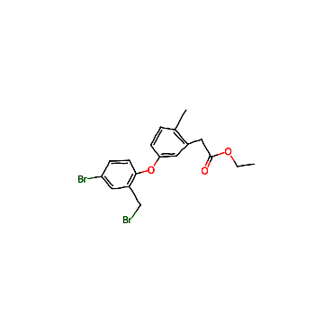 CCOC(=O)Cc1cc(Oc2ccc(Br)cc2CBr)ccc1C